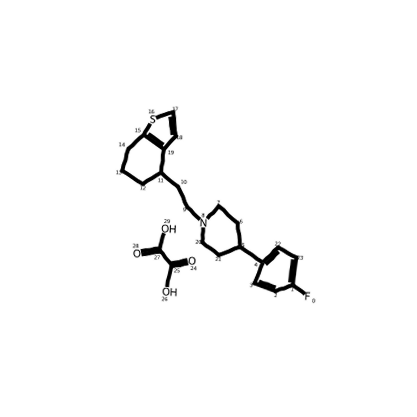 Fc1ccc(C2CCN(CCC3CCCc4sccc43)CC2)cc1.O=C(O)C(=O)O